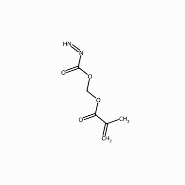 C=C(C)C(=O)OCOC(=O)N=N